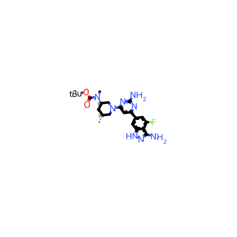 C[C@@H]1C[C@@H](N(C)C(=O)OC(C)(C)C)CN(c2cc(-c3cc(F)c4c(N)n[nH]c4c3)nc(N)n2)C1